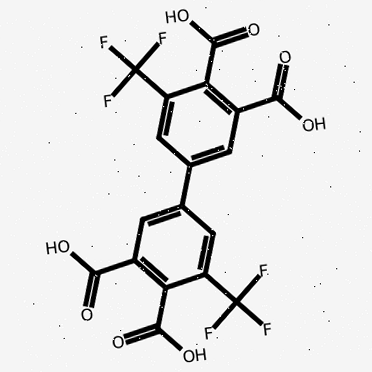 O=C(O)c1cc(-c2cc(C(=O)O)c(C(=O)O)c(C(F)(F)F)c2)cc(C(F)(F)F)c1C(=O)O